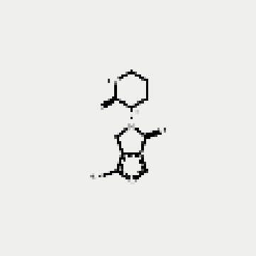 Nc1scc2c1CN([C@H]1CCCNC1=O)C2=O